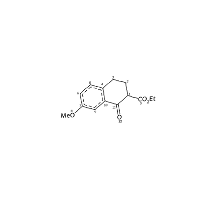 CCOC(=O)C1CCc2ccc(OC)cc2C1=O